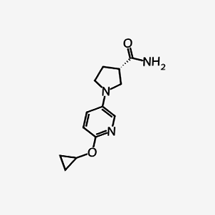 NC(=O)[C@H]1CCN(c2ccc(OC3CC3)nc2)C1